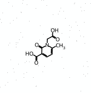 Cc1ccc(C(=O)O)c(=O)n1CC(=O)O